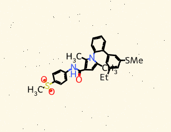 CCc1cc(SC)cc(-c2ccccc2-n2c(C)cc(C(=O)Nc3ccc(S(C)(=O)=O)cc3)c2C)c1